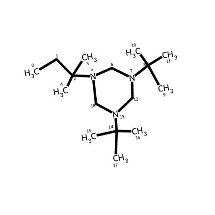 CCC(C)(C)N1CN(C(C)(C)C)CN(C(C)(C)C)C1